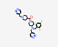 O=C(C1CCN(Cc2ccnnc2)CC1)N1CCC(N(Cc2ccnnc2)Cc2c(F)cc(F)cc2F)CC1